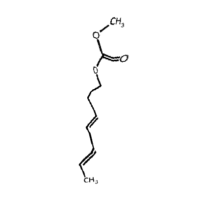 C/C=C/C=C/CCOC(=O)OC